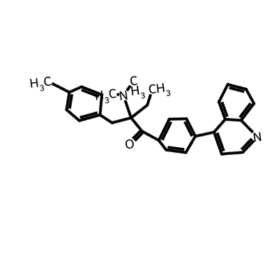 CCC(Cc1ccc(C)cc1)(C(=O)c1ccc(-c2ccnc3ccccc23)cc1)N(C)C